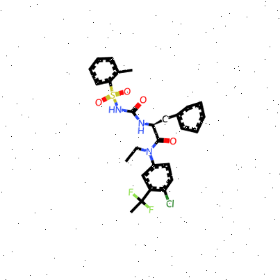 CCN(C(=O)[C@H](Cc1ccccc1)NC(=O)NS(=O)(=O)c1ccccc1C)c1ccc(Cl)c(C(C)(F)F)c1